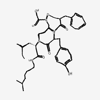 CC(C)CCCNC(=O)[C@H](CC(C)C)N1CC2N(C(=O)O)OC(Cc3ccccc3)C(=O)N2C(Cc2ccc(O)cc2)C1=O